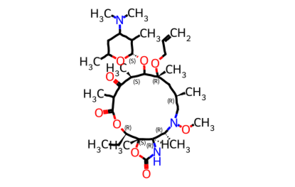 C=CCO[C@]1(C)C[C@@H](C)CN(OC)[C@H](C)[C@H]2NC(=O)O[C@]2(C)[C@@H](CC)OC(=O)C(C)C(=O)[C@@H](C)C1O[C@@H]1OC(C)CC(N(C)C)C1C